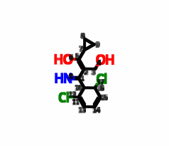 N=C(/C(CO)=C(\O)C1CC1)C1C(Cl)=CC=CC1Cl